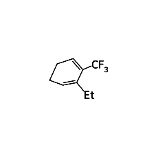 CCC1=CCCC=C1C(F)(F)F